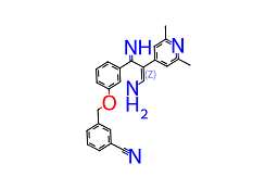 Cc1cc(/C(=C/N)C(=N)c2cccc(OCc3cccc(C#N)c3)c2)cc(C)n1